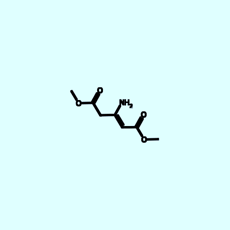 COC(=O)C=C(N)CC(=O)OC